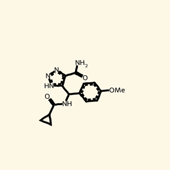 COc1ccc(C(NC(=O)C2CC2)c2[nH]nnc2C(N)=O)cc1